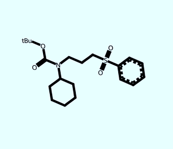 CC(C)(C)OC(=O)N(CCCS(=O)(=O)c1ccccc1)C1CCCCC1